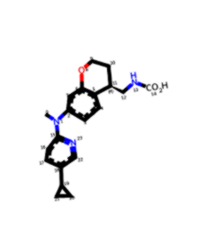 CN(c1ccc2c(c1)OCC[C@H]2CNC(=O)O)c1ccc(C2CC2)cn1